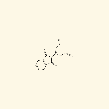 C=CCC(=CCBr)N1C(=O)c2ccccc2C1=O